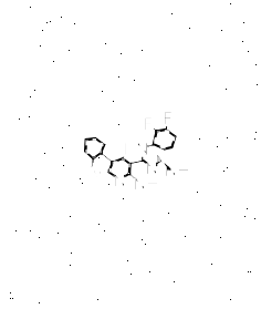 CC(=O)c1ccccc1-c1cnc(N)c(/C(=N/N=N)Nc2cccc(F)c2F)c1